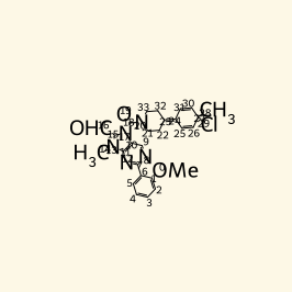 COc1ccccc1-c1ncc2c(n1)N(C)C(C=O)N2C(=O)N1CCC(=C2C=CC(C)(Cl)C=C2)CC1